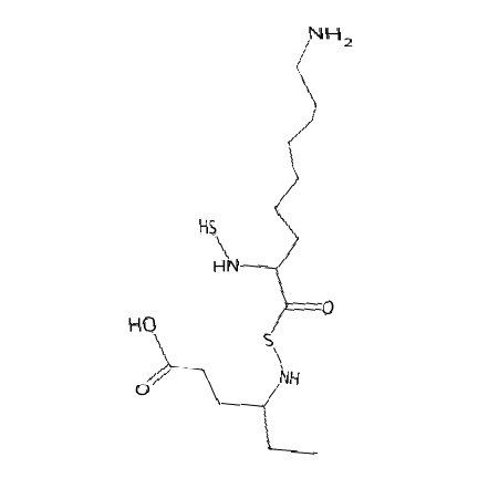 CCC(CCC(=O)O)NSC(=O)C(CCCCCCN)NS